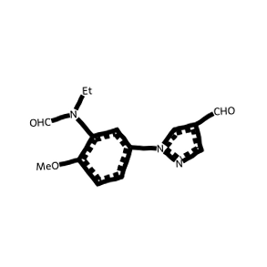 CCN(C=O)c1cc(-n2cc(C=O)cn2)ccc1OC